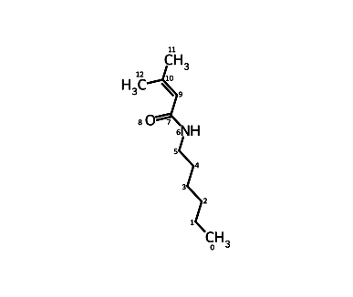 CCCCCCNC(=O)C=C(C)C